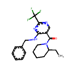 CCC1CCCCN1C(=O)c1cnc(C(F)(F)F)nc1NCc1ccccc1